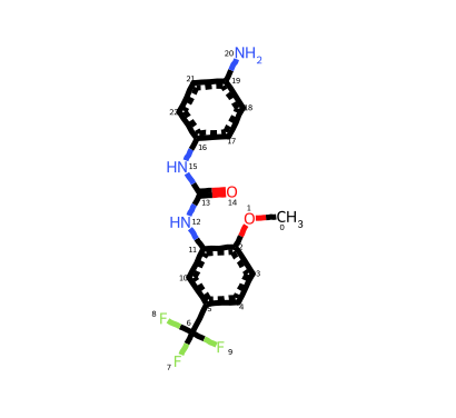 COc1ccc(C(F)(F)F)cc1NC(=O)Nc1ccc(N)cc1